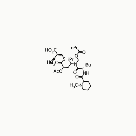 C#C/C(=C\SC(=C)[C@@H](CC(C(C)C)N(COC(=O)CCC)C(=O)[C@@H](NC(=O)[C@H]1CCCCN1C)[C@@H](C)CC)OC(C)=O)C(=O)O